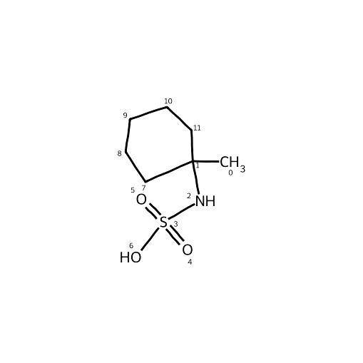 CC1(NS(=O)(=O)O)CCCCC1